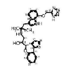 CC(C)(Cc1c[nH]c2c(OCc3nnn[nH]3)cccc12)NC[C@H](O)COc1ccccc1-c1cccs1